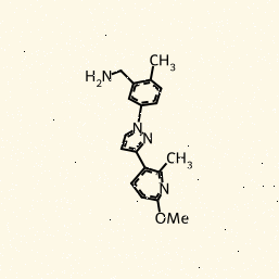 COc1ccc(-c2ccn(-c3ccc(C)c(CN)c3)n2)c(C)n1